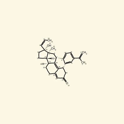 C=C(C)c1ccc([C@H]2C[C@@]3(C)[C@@H](CC[C@@]3(O)/C=C\C)[C@@H]3CCC4=CC(=O)CCC4=C32)cc1